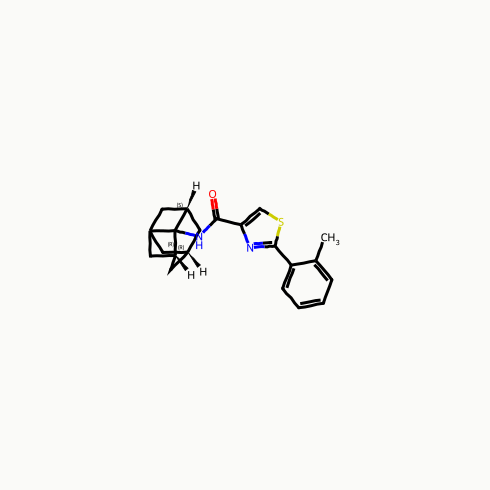 Cc1ccccc1-c1nc(C(=O)NC23[C@@H]4C[C@H]5C[C@H]2CC3(C5)C4)cs1